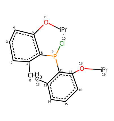 Cc1cccc(OC(C)C)c1P(Cl)c1c(C)cccc1OC(C)C